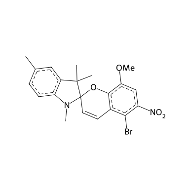 COc1cc([N+](=O)[O-])c(Br)c2c1OC1(C=C2)N(C)c2ccc(C)cc2C1(C)C